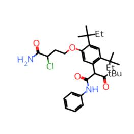 CCC(C)(C)c1cc(C(C)(C)CC)c(C(C(=O)Nc2ccccc2)C(=O)C(C)(C)C)cc1OCCC(Cl)C(N)=O